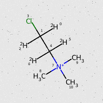 [2H]C([2H])(Cl)C([2H])([2H])[N+](C)(C)C